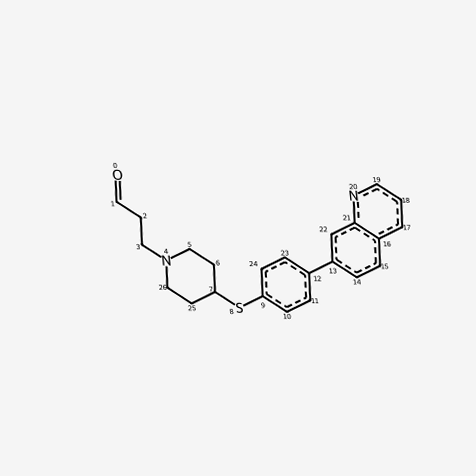 O=CCCN1CCC(Sc2ccc(-c3ccc4cccnc4c3)cc2)CC1